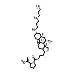 COC(=O)C1CCCN1C(=O)CC[C@@H](C)[C@H]1CC[C@H]2[C@@H]3[C@H](O)C[C@@H]4C[C@@H](NCCCNCCCN)CC[C@]4(C)[C@H]3CC[C@]12C